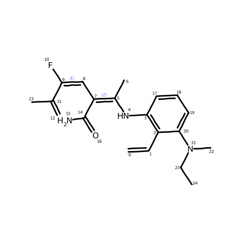 C=Cc1c(N/C(C)=C(/C=C(/F)C(=C)C)C(N)=O)cccc1N(C)CC